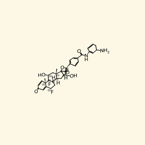 C[C@]12C=CC(=O)C=C1[C@@H](F)C[C@H]1[C@@H]3C[C@H]4O[C@H](c5ccc(C(=O)NC6=CC(N)CC=C6)cc5)O[C@@]4(C(=O)CO)[C@@]3(C)C[C@H](O)[C@@]12F